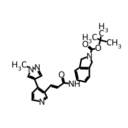 Cn1cc(-c2ccncc2/C=C/C(=O)Nc2ccc3c(c2)CN(C(=O)OC(C)(C)C)C3)cn1